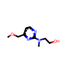 COCc1ccnc(N(C)CCO)n1